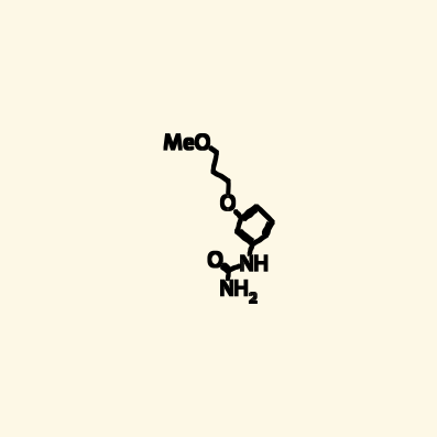 COCCCOc1cccc(NC(N)=O)c1